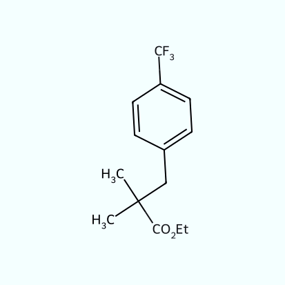 CCOC(=O)C(C)(C)Cc1ccc(C(F)(F)F)cc1